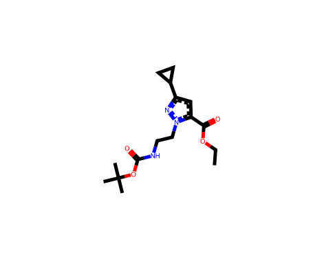 CCOC(=O)c1cc(C2CC2)nn1CCNC(=O)OC(C)(C)C